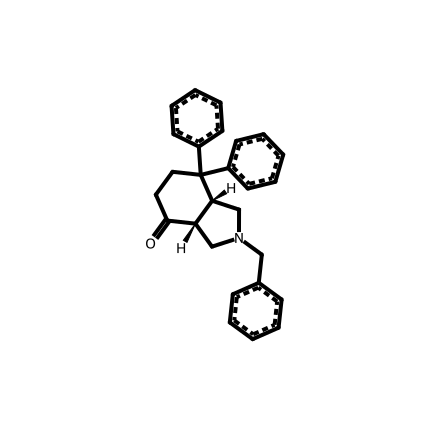 O=C1CCC(c2ccccc2)(c2ccccc2)[C@@H]2CN(Cc3ccccc3)C[C@H]12